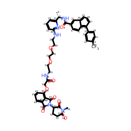 C[C@H](NC(=O)c1ccc2c(-c3ccc(C(F)(F)F)cc3)cccc2c1)c1cccc(NCCOCCOCCNC(=O)COc2cccc3c2C(=O)N(C2CCC(=O)N(C)C2=O)C3=O)n1